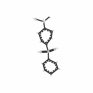 C[S+]([O-])c1ccc(S(=O)(=O)c2ccccc2)cc1